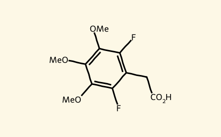 COc1c(F)c(CC(=O)O)c(F)c(OC)c1OC